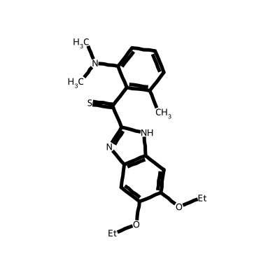 CCOc1cc2nc(C(=S)c3c(C)cccc3N(C)C)[nH]c2cc1OCC